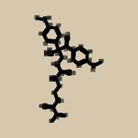 C=C(C)C(=O)OCCNC(=O)OCC(O)(C(=O)c1ccc(SC)cc1)c1ccc(SC)cc1